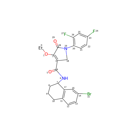 CCOC1=C(C(=O)NC2CCCc3ccc(Br)cc32)CN(c2ccc(F)cc2F)C1=O